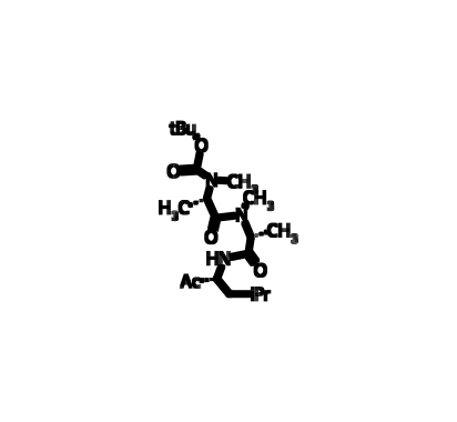 CC(=O)[C@@H](CC(C)C)NC(=O)[C@@H](C)N(C)C(=O)[C@H](C)N(C)C(=O)OC(C)(C)C